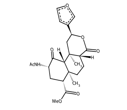 COC(=O)[C@@H]1C[C@H](NC(C)=O)C(=O)[C@H]2[C@@]1(C)CC[C@H]1C(=O)O[C@H](c3ccoc3)C[C@]21C